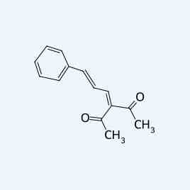 CC(=O)C(=C/C=C/c1ccccc1)C(C)=O